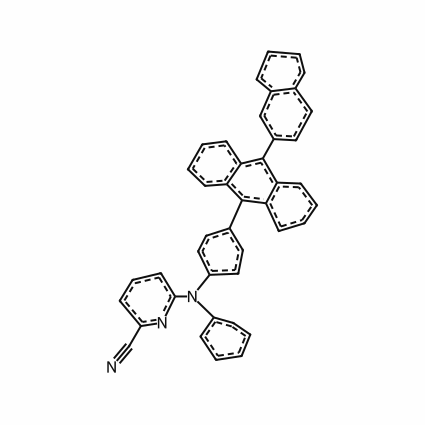 N#Cc1cccc(N(c2ccccc2)c2ccc(-c3c4ccccc4c(-c4ccc5ccccc5c4)c4ccccc34)cc2)n1